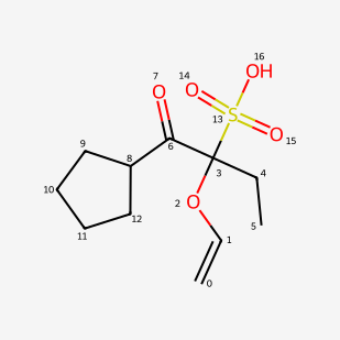 C=COC(CC)(C(=O)C1CCCC1)S(=O)(=O)O